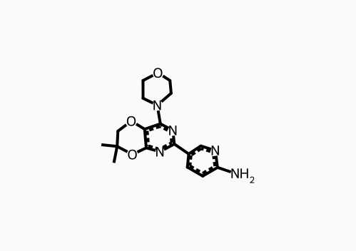 CC1(C)COc2c(nc(-c3ccc(N)nc3)nc2N2CCOCC2)O1